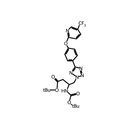 CC(C)(C)OC(=O)CC(Cn1nnc(-c2ccc(Oc3ccc(C(F)(F)F)cn3)cc2)n1)NC(=O)OC(C)(C)C